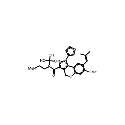 CNCCN(C(=O)c1nn(-c2ccsc2)c2c1COc1cc(OC)c(C=C(C)C)cc1-2)C(O)(O)O